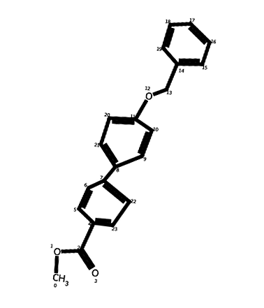 COC(=O)c1ccc(-c2ccc(OCc3ccccc3)cc2)cc1